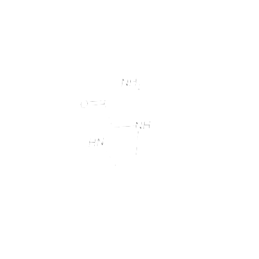 NC(=O)C1NC=CN1